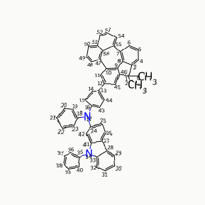 CC1(C)c2cccc3c2-c2c(cc(-c4ccc(N(c5ccccc5)c5ccc6c7ccccc7n(-c7ccccc7)c6c5)cc4)cc21)-c1cccc2cccc-3c12